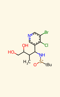 CC(C(O)CO)C(N[S+]([O-])C(C)(C)C)c1cncc(Br)c1Cl